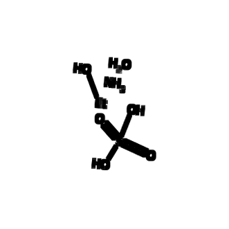 CCO.N.O.O=S(=O)(O)O